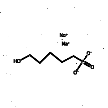 O=P([O-])([O-])CCCCCO.[Na+].[Na+]